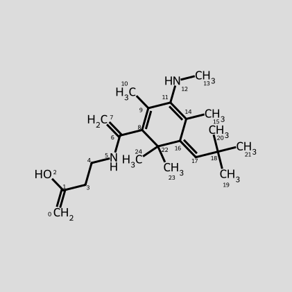 C=C(O)CCNC(=C)C1=C(C)C(NC)=C(C)/C(=C\C(C)(C)C)C1(C)C